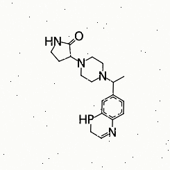 CC(c1ccc2c(c1)PCC=N2)N1CCN(C2CCNC2=O)CC1